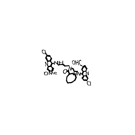 COc1ccc2nc3cc(Cl)ccc3c(NCCCCN(CCCNc3c4ccc(Cl)cc4nc4ccc(C=O)cc34)C(=O)C3CCCCCCCC3)c2c1